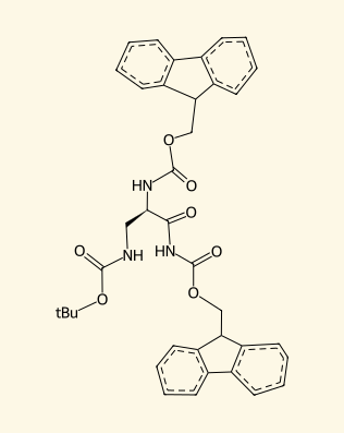 CC(C)(C)OC(=O)NC[C@@H](NC(=O)OCC1c2ccccc2-c2ccccc21)C(=O)NC(=O)OCC1c2ccccc2-c2ccccc21